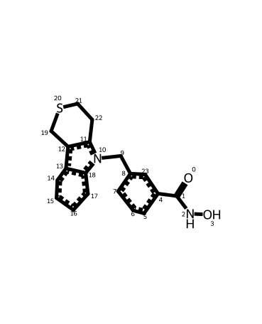 O=C(NO)c1cccc(Cn2c3c(c4ccccc42)CSCC3)c1